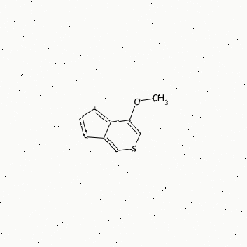 COc1cscc2cc[c]c1-2